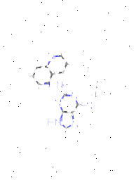 Nc1nc(NC2CC2)c2nc[nH]c2n1.c1ccc2ncccc2c1